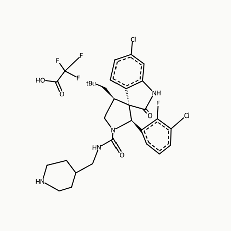 CC(C)(C)C[C@@H]1CN(C(=O)NCC2CCNCC2)[C@H](c2cccc(Cl)c2F)[C@]12C(=O)Nc1cc(Cl)ccc12.O=C(O)C(F)(F)F